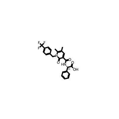 Cc1cc(C(=O)N[C@H](C(=O)O)c2ccccc2)c(=O)n(Cc2ccc(C(F)(F)F)cc2)c1C